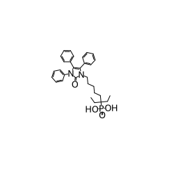 CCC(CC)(CCCCCn1c(-c2ccccc2)c(-c2ccccc2)n(-c2ccccc2)c1=O)P(=O)(O)O